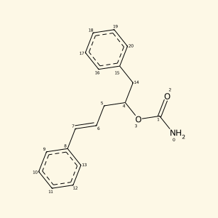 NC(=O)OC(CC=Cc1ccccc1)Cc1ccccc1